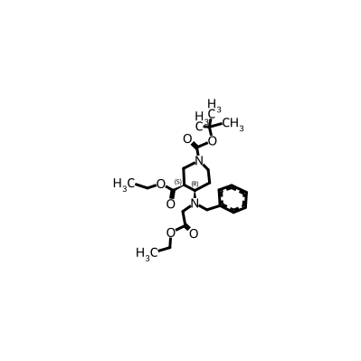 CCOC(=O)CN(Cc1ccccc1)[C@@H]1CCN(C(=O)OC(C)(C)C)C[C@@H]1C(=O)OCC